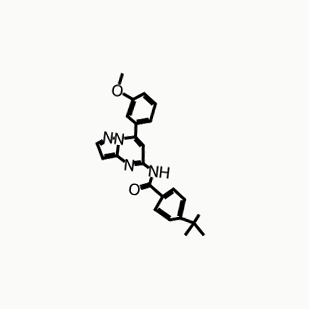 COc1cccc(-c2cc(NC(=O)c3ccc(C(C)(C)C)cc3)nc3ccnn23)c1